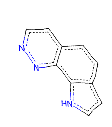 c1cc2ccc3cc[nH]c3c2nn1